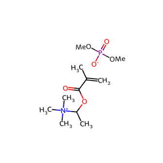 C=C(C)C(=O)OC(C)[N+](C)(C)C.COP(=O)([O-])OC